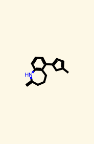 C=C1CCCc2c(cccc2C2=CC=C(C)C2)N1